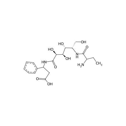 CCC(N)C(=O)N[C@@H](CO)[C@@H](O)[C@@H](O)[C@H](O)C(=O)NC(CC(=O)O)c1ccccc1